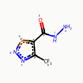 NNC(=O)c1snnc1C(F)(F)F